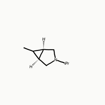 CC1[C@H]2CN(C(C)C)C[C@@H]12